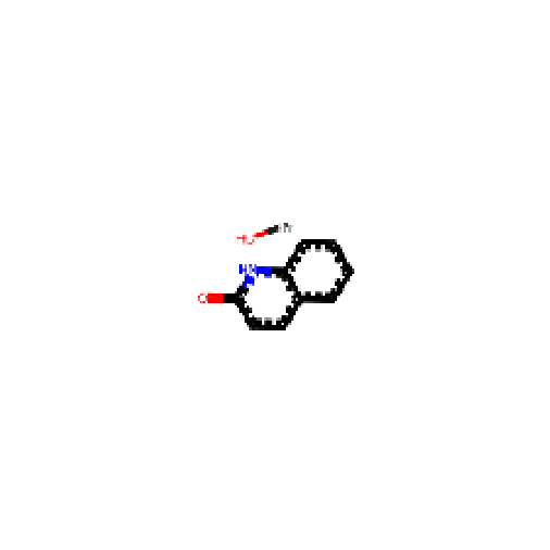 CC(C)O.O=c1ccc2ccccc2[nH]1